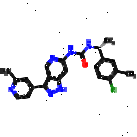 Cc1cc(-c2n[nH]c3cc(NC(=O)N[C@H](C)c4ccc(Cl)c(C)c4)ncc23)ccn1